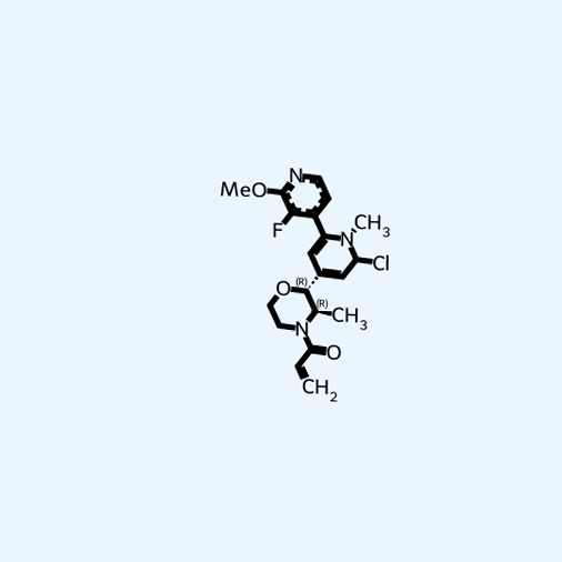 C=CC(=O)N1CCO[C@H](C2=CC(Cl)N(C)C(c3ccnc(OC)c3F)=C2)[C@H]1C